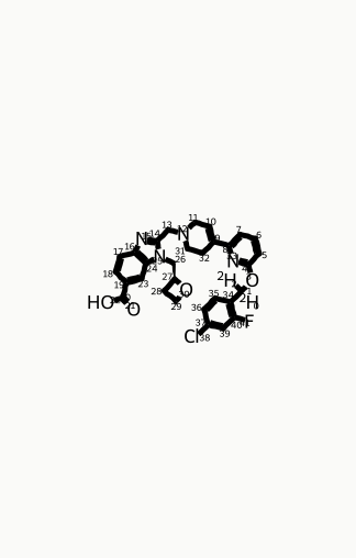 [2H]C([2H])(Oc1cccc(C2=CCN(Cc3nc4ccc(C(=O)O)cc4n3C[C@@H]3CCO3)CC2)n1)c1ccc(Cl)cc1F